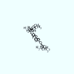 COC(=O)[C@H](Cc1ccc(Oc2ccnc3c2ccn3COCCS(C)(C)C)c(F)c1)NC(=O)OC(C)(C)C